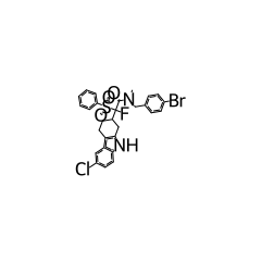 CN(Cc1ccc(Br)cc1)C(=O)C(F)(C1CCc2c([nH]c3ccc(Cl)cc23)C1)S(=O)(=O)c1ccccc1